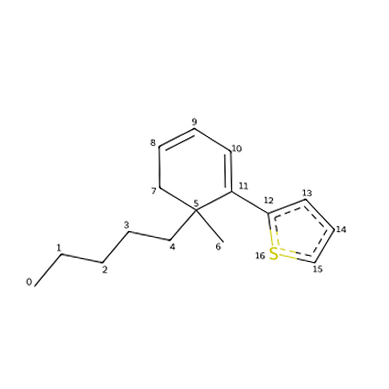 CCCCCC1(C)CC=CC=C1c1cccs1